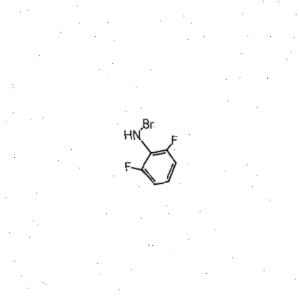 Fc1cccc(F)c1NBr